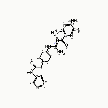 CN(C(=O)CN1CCC(N/C(N)=N/C(=O)c2nc(Cl)c(N)nc2N)CC1)c1ccccc1